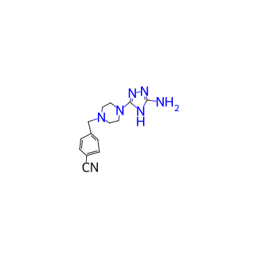 N#Cc1ccc(CN2CCN(c3nnc(N)[nH]3)CC2)cc1